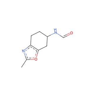 Cc1nc2c(o1)CC(NC=O)CC2